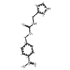 O=C(NCc1n[c][nH]n1)OCc1ccc([N+](=O)[O-])cc1